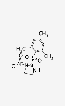 Cc1cc(C)c(S(=O)(=O)N2NCCN2[N+](=O)[O-])c(C)c1